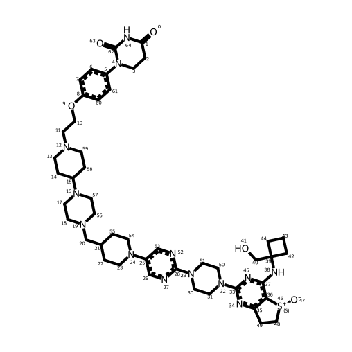 O=C1CCN(c2ccc(OCCN3CCC(N4CCN(CC5CCN(c6cnc(N7CCN(c8nc9c(c(NC%10(CO)CCC%10)n8)[S@+]([O-])CC9)CC7)nc6)CC5)CC4)CC3)cc2)C(=O)N1